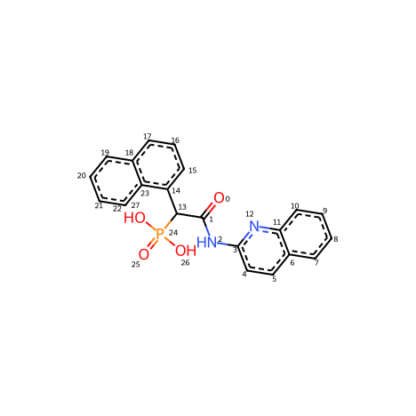 O=C(Nc1ccc2ccccc2n1)C(c1cccc2ccccc12)P(=O)(O)O